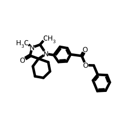 CC1N(C)C(=O)C2(CCCCC2)N1c1ccc(C(=O)OCc2ccccc2)cc1